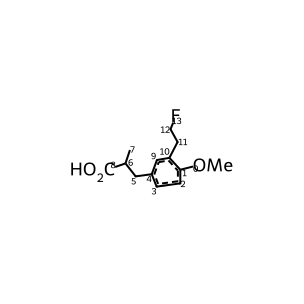 COc1ccc(CC(C)C(=O)O)cc1CCF